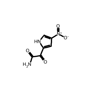 NC(=O)C(=O)c1cc([N+](=O)[O-])c[nH]1